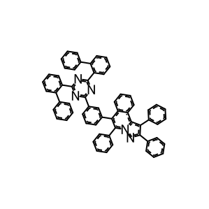 c1ccc(-c2ccccc2-c2nc(-c3cccc(-c4c(-c5ccccc5)n5nc(-c6ccccc6)c(-c6ccccc6)c5c5ccccc45)c3)nc(-c3ccccc3-c3ccccc3)n2)cc1